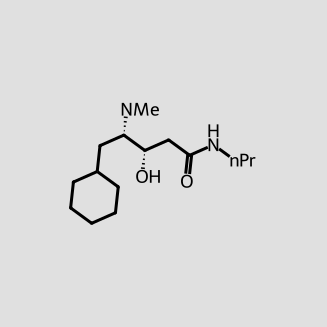 CCCNC(=O)C[C@H](O)[C@H](CC1CCCCC1)NC